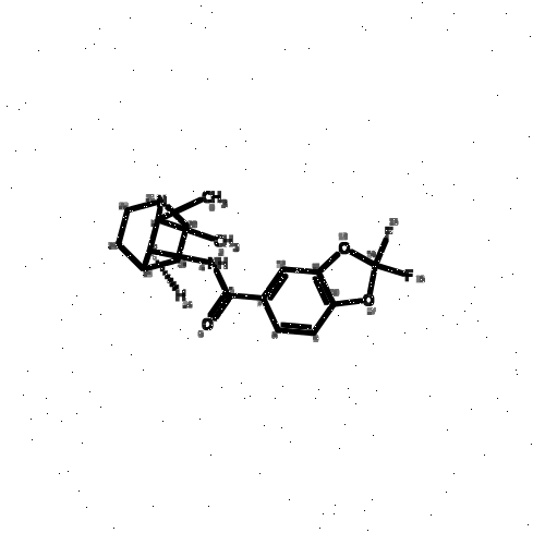 CC1(C)[C@@H](NC(=O)c2ccc3c(c2)OC(F)(F)O3)C2CCN1CC2